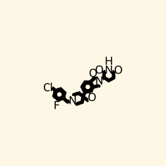 O=C1CCC(N2Cc3c(ccc4c3OCC43CCN(Cc4ccc(Cl)cc4F)CC3)C2=O)C(=O)N1